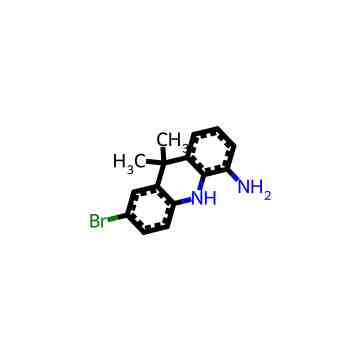 CC1(C)c2cc(Br)ccc2Nc2c(N)cccc21